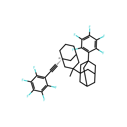 CC1(C23CC4CC(CC(c5c(F)c(F)c(F)c(F)c5F)(C4)C2)C3)CC2CCC[C@@](C#Cc3c(F)c(F)c(F)c(F)c3F)(C2)C1